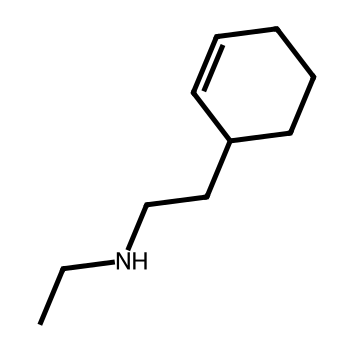 CCNCCC1C=CCCC1